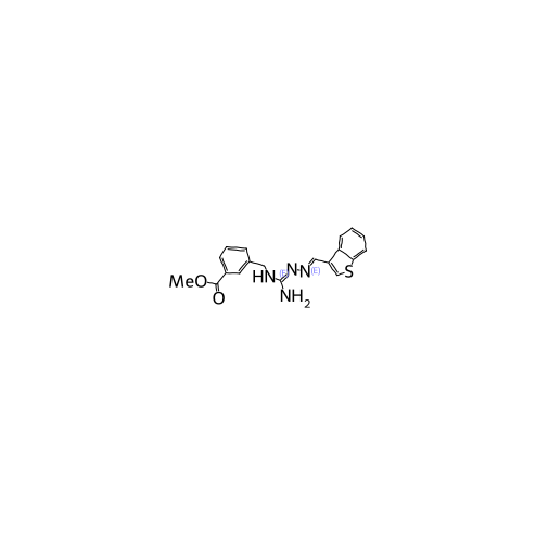 COC(=O)c1cccc(CN/C(N)=N/N=C/c2csc3ccccc23)c1